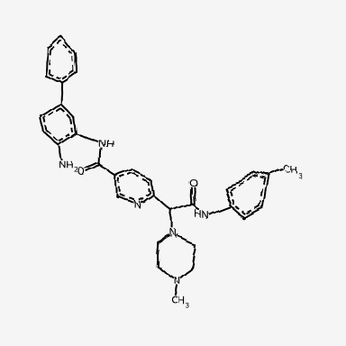 Cc1ccc(NC(=O)C(c2ccc(C(=O)Nc3cc(-c4ccccc4)ccc3N)cn2)N2CCN(C)CC2)cc1